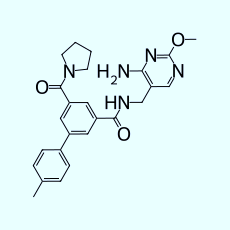 COc1ncc(CNC(=O)c2cc(C(=O)N3CCCC3)cc(-c3ccc(C)cc3)c2)c(N)n1